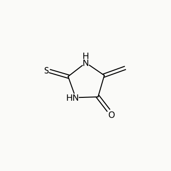 C=C1NC(=S)NC1=O